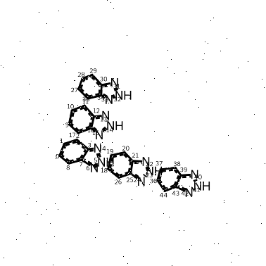 c1ccc2n[nH]nc2c1.c1ccc2n[nH]nc2c1.c1ccc2n[nH]nc2c1.c1ccc2n[nH]nc2c1.c1ccc2n[nH]nc2c1